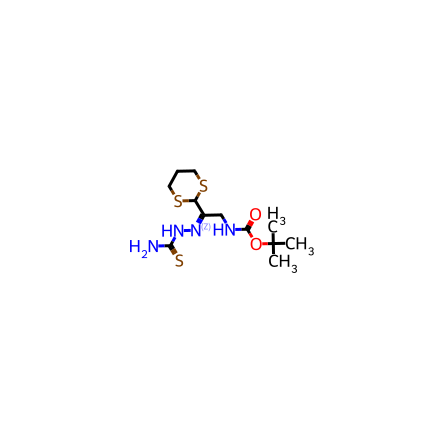 CC(C)(C)OC(=O)NC/C(=N/NC(N)=S)C1SCCCS1